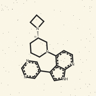 c1ncc(-c2c[nH]c3nccc(N4CCC[C@H](N5CCC5)C4)c23)cn1